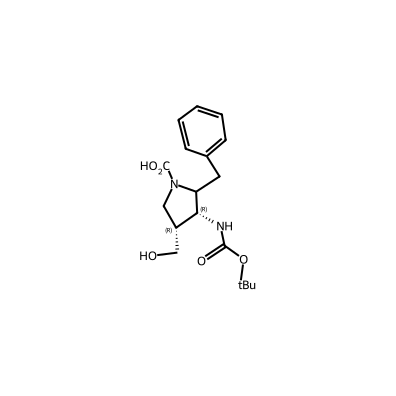 CC(C)(C)OC(=O)N[C@H]1C(Cc2ccccc2)N(C(=O)O)C[C@H]1CO